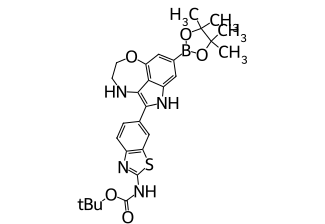 CC(C)(C)OC(=O)Nc1nc2ccc(-c3[nH]c4cc(B5OC(C)(C)C(C)(C)O5)cc5c4c3NCCO5)cc2s1